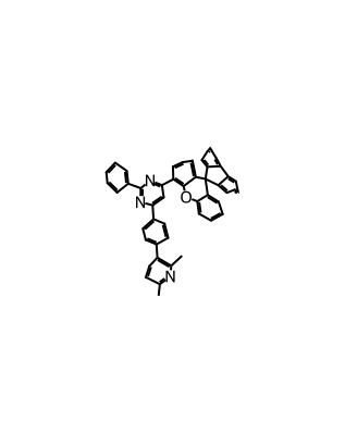 Cc1ccc(-c2ccc(-c3cc(-c4cccc5c4Oc4ccccc4C54c5ccccc5-c5ccccc54)nc(-c4ccccc4)n3)cc2)c(C)n1